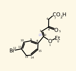 CCO/C(=C\C(=O)CC(=O)O)C1=CC=C(Br)CC=C1